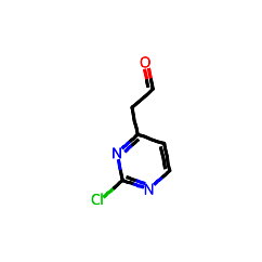 O=CCc1ccnc(Cl)n1